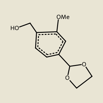 COc1cc(C2OCCO2)ccc1CO